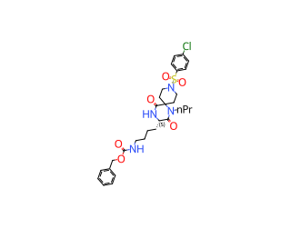 CCCN1C(=O)[C@H](CCCCNC(=O)OCc2ccccc2)NC(=O)C12CCN(S(=O)(=O)c1ccc(Cl)cc1)CC2